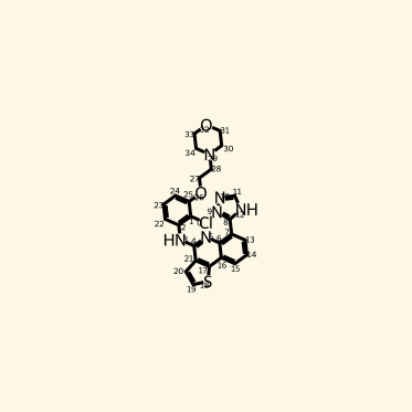 Clc1c(Nc2nc3c(-c4nnc[nH]4)cccc3c3sccc23)cccc1OCCN1CCOCC1